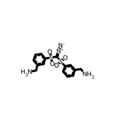 [N-]=[N+]=C(S(=O)(=O)c1cccc(CN)c1)S(=O)(=O)c1cccc(CN)c1